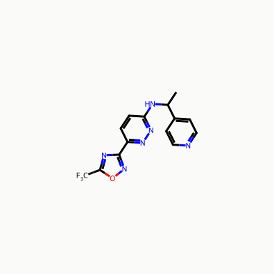 CC(Nc1ccc(-c2noc(C(F)(F)F)n2)nn1)c1ccncc1